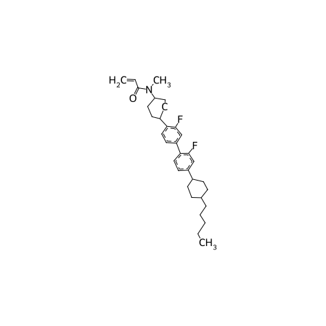 C=CC(=O)N(C)C1CCC(c2ccc(-c3ccc(C4CCC(CCCCC)CC4)cc3F)cc2F)CC1